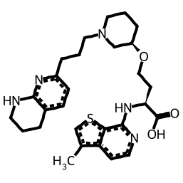 Cc1csc2c(N[C@@H](CCO[C@@H]3CCCN(CCCc4ccc5c(n4)NCCC5)C3)C(=O)O)nccc12